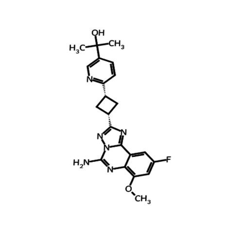 COc1cc(F)cc2c1nc(N)n1nc([C@H]3C[C@@H](c4ccc(C(C)(C)O)cn4)C3)nc21